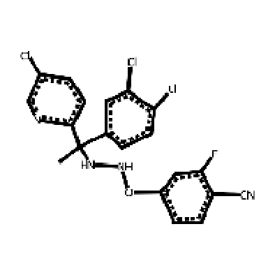 CC(NNOc1ccc(C#N)c(F)c1)(c1ccc(Cl)c(Cl)c1)c1ccc(Cl)cn1